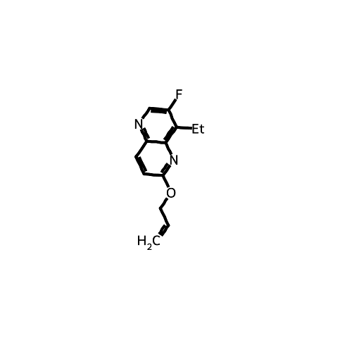 C=CCOc1ccc2ncc(F)c(CC)c2n1